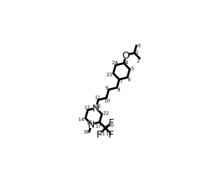 CC(C)OC1CCC(CCCCN2CCN(C)C(C(F)(F)F)C2)CC1